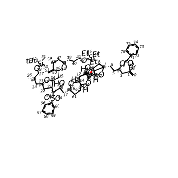 C=C(Br)C[C@@H](CC[C@@]12CC3O[C@H]4C(O1)[C@H]1O[C@@H](CC(O)C(C5C[C@@H](C[C@H](C)CO[Si](C)(C)C(C)(C)C)O[C@H]5CC5O[C@@H](CCCO[Si](CC)(CC)CC)C[C@@H](C)C5=C)S(=O)(=O)c5ccccc5)CC[C@@H]1O[C@H]4[C@H]3O2)OC(=O)c1ccccc1